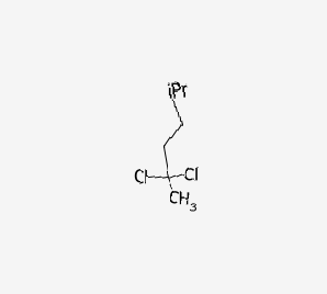 CC(C)CCC(C)(Cl)Cl